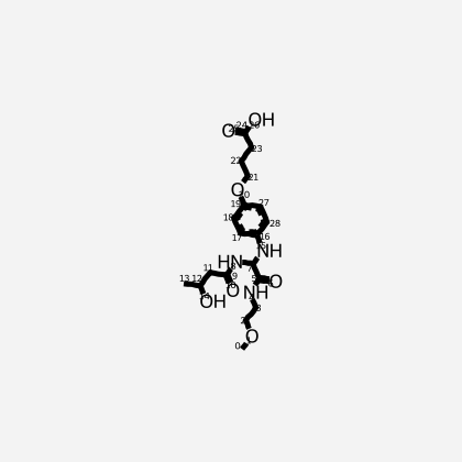 COCCNC(=O)C(NC(=O)CC(C)O)Nc1ccc(OCCCC(=O)O)cc1